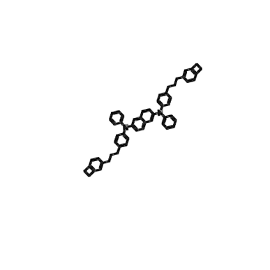 c1ccc(N(c2ccc(CCCc3ccc4c(c3)CC4)cc2)c2ccc3cc(N(c4ccccc4)c4ccc(CCCc5ccc6c(c5)CC6)cc4)ccc3c2)cc1